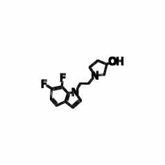 OC1CCN(CCn2ccc3ccc(F)c(F)c32)C1